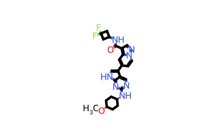 CO[C@H]1CC[C@@H](Nc2ncc3c(-c4ccn5ncc(C(=O)NC6CC(F)(F)C6)c5c4)c[nH]c3n2)CC1